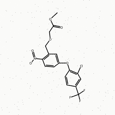 COC(=O)COCc1cc(Oc2ccc(C(F)(F)F)cc2Cl)ccc1[N+](=O)[O-]